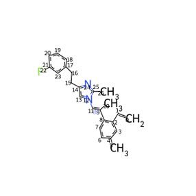 C=Cc1cc(C)ccc1/C(C)=C/n1cc(CCc2cccc(F)c2)nc1C